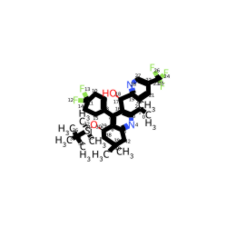 CC(C)c1nc2c(c(C3=CCC(F)(F)CC3)c1[C@H](O)c1ccc(C(F)(F)F)cn1)[C@@H](O[Si](C)(C)C(C)(C)C)CC(C)(C)C2